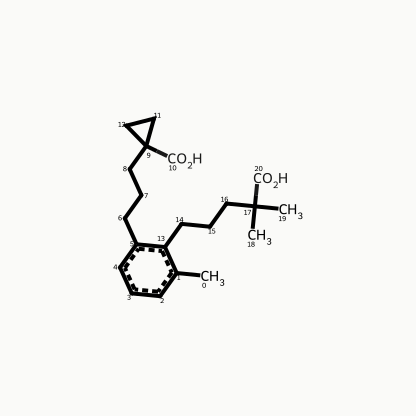 Cc1cccc(CCCC2(C(=O)O)CC2)c1CCCC(C)(C)C(=O)O